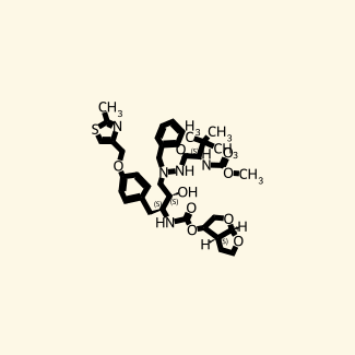 COC(=O)N[C@H](C(=O)NN(Cc1ccccc1)C[C@H](O)[C@H](Cc1ccc(OCc2csc(C)n2)cc1)NC(=O)OC1CO[C@H]2OCC[C@@H]12)C(C)(C)C